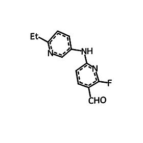 CCc1ccc(Nc2ccc(C=O)c(F)n2)cn1